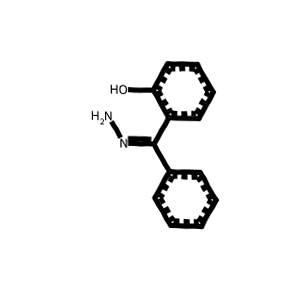 NN=C(c1ccccc1)c1ccccc1O